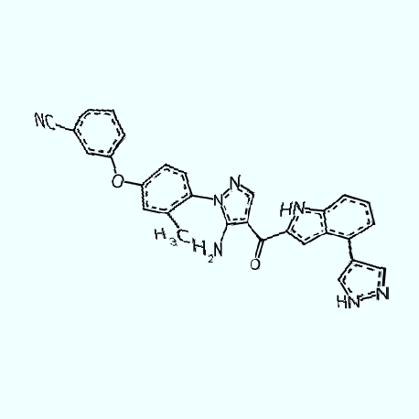 Cc1cc(Oc2cccc(C#N)c2)ccc1-n1ncc(C(=O)c2cc3c(-c4cn[nH]c4)cccc3[nH]2)c1N